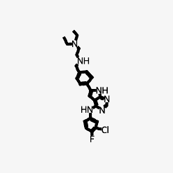 CCN(CC)CCNCc1ccc(-c2cc3c(Nc4ccc(F)c(Cl)c4)ncnc3[nH]2)cc1